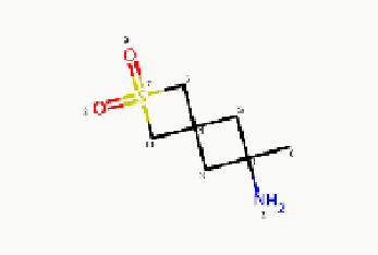 CC1(N)CC2(C1)CS(=O)(=O)C2